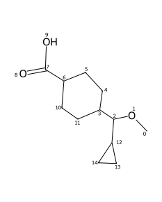 COC(C1CCC(C(=O)O)CC1)C1CC1